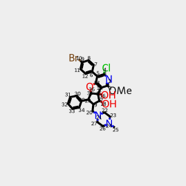 COc1nc(Cl)c(-c2ccc(Br)cc2)c2c1C1(O)C(O)C(CN3CCN(C)CC3)C(c3ccccc3)C1O2